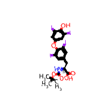 CC(C)(C)OC(=O)N[C@@H](Cc1cc(I)c(Oc2cc(I)c(O)c(I)c2)c(I)c1)C(=O)O